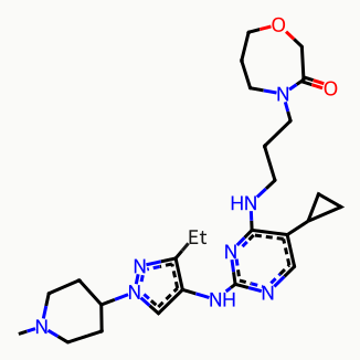 CCc1nn(C2CCN(C)CC2)cc1Nc1ncc(C2CC2)c(NCCCN2CCCOCC2=O)n1